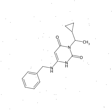 CC(C1CC1)n1c(=O)cc(NCc2ccccc2)[nH]c1=O